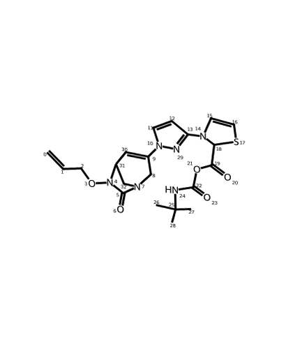 C=CCON1C(=O)N2CC(n3ccc(N4C=CSC4C(=O)OC(=O)NC(C)(C)C)n3)=CC1C2